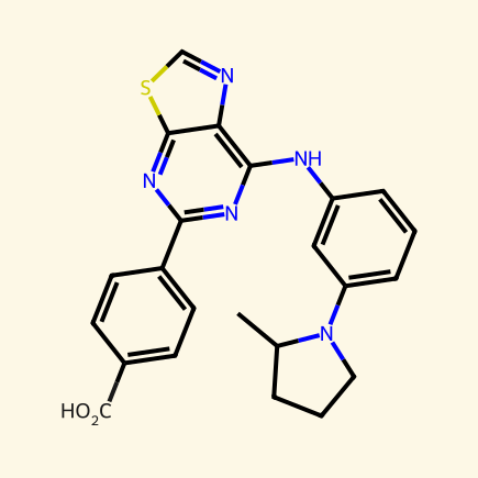 CC1CCCN1c1cccc(Nc2nc(-c3ccc(C(=O)O)cc3)nc3scnc23)c1